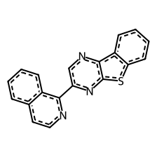 c1ccc2c(-c3cnc4c(n3)sc3ccccc34)nccc2c1